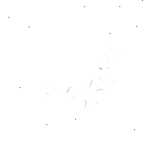 CC(C)(C)OC(=O)NC/C(=C/F)C(O)c1ccc2c(c1)CCN(C1CCCC1)C2=O